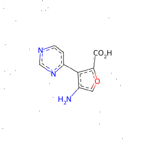 Nc1coc(C(=O)O)c1-c1ccncn1